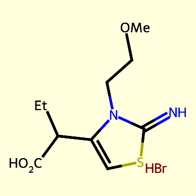 Br.CCC(C(=O)O)c1csc(=N)n1CCOC